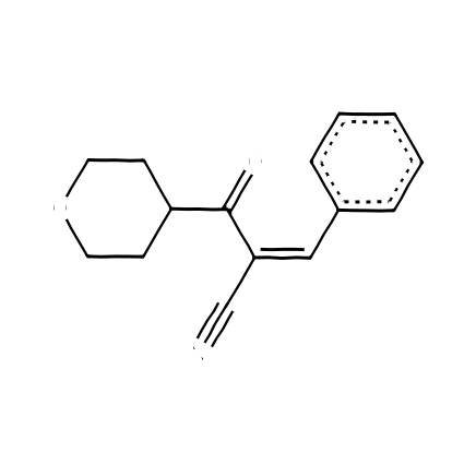 N#CC(=Cc1ccccc1)C(=O)C1CCOCC1